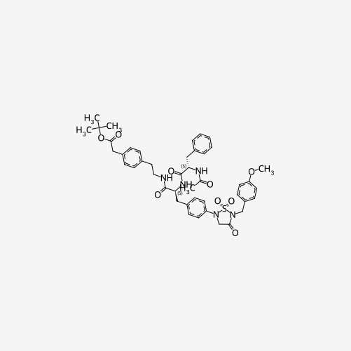 COc1ccc(CN2C(=O)CN(c3ccc(C[C@H](NC(=O)[C@H](Cc4ccccc4)NC(C)=O)C(=O)NCCc4ccc(CC(=O)OC(C)(C)C)cc4)cc3)S2(=O)=O)cc1